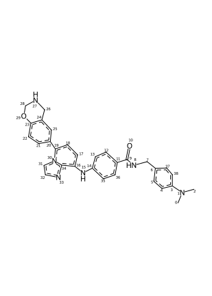 CN(C)c1ccc(CNC(=O)c2ccc(Nc3ccc(-c4ccc5c(c4)CNCO5)n4ccnc34)cc2)cc1